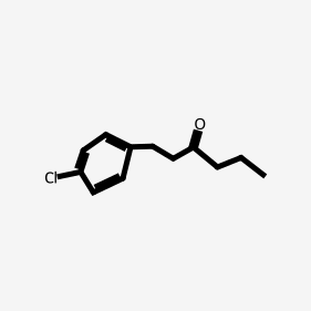 CCCC(=O)CCc1ccc(Cl)cc1